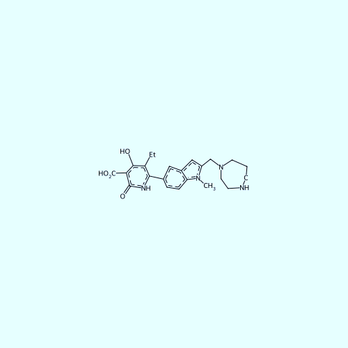 CCc1c(-c2ccc3c(c2)cc(CN2CCCNCC2)n3C)[nH]c(=O)c(C(=O)O)c1O